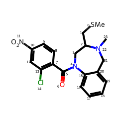 CSCC1CN(C(=O)c2ccc([N+](=O)[O-])cc2Cl)c2ccccc2CN1C